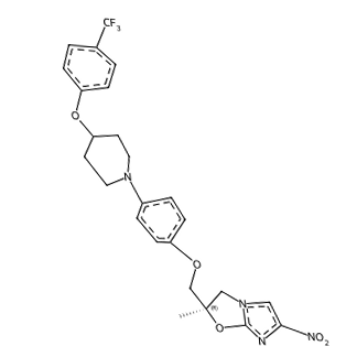 C[C@]1(COc2ccc(N3CCC(Oc4ccc(C(F)(F)F)cc4)CC3)cc2)Cn2cc([N+](=O)[O-])nc2O1